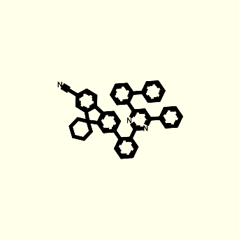 N#Cc1ccc2c(c1)C1(CCCCC1)c1cc(-c3ccccc3-c3nc(-c4ccccc4)cc(-c4ccccc4-c4ccccc4)n3)ccc1-2